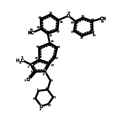 Cn1c(=O)n(CC2CCOCC2)c2ccc(-c3cc(Oc4ccnc(C#N)c4)ccc3C#N)cc21